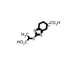 CC(Sc1nc2c(s1)C[C@@H](C(=O)O)CC2)C(=O)O